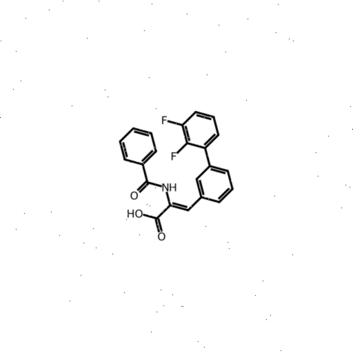 O=C(O)C(=Cc1cccc(-c2cccc(F)c2F)c1)NC(=O)c1ccccc1